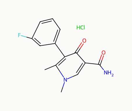 Cc1c(-c2cccc(F)c2)c(=O)c(C(N)=O)cn1C.Cl